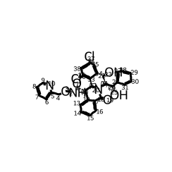 O=C(NOCc1ccccn1)[C@H]1c2ccccc2C(=O)N([C@@H](CO)[C@@H](O)c2ccccc2)[C@@H]1c1ccc(Cl)cc1Cl